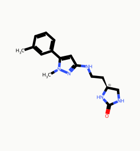 Cc1cccc(-c2cc(NCC[C@H]3CNC(=O)N3)nn2C)c1